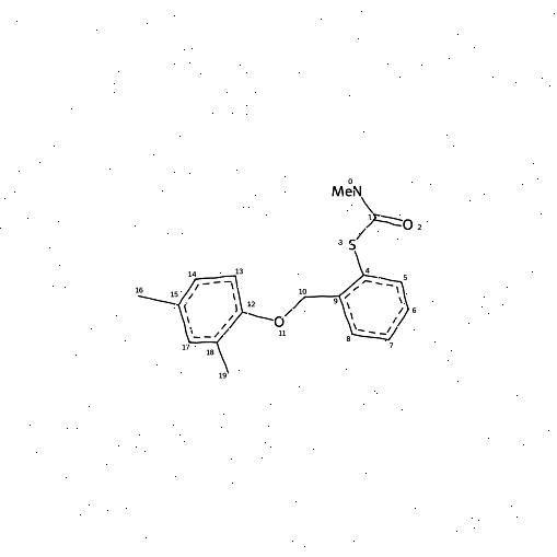 CNC(=O)Sc1ccccc1COc1ccc(C)cc1C